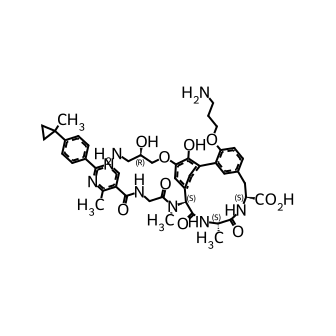 Cc1nc(-c2ccc(C3(C)CC3)cc2)ncc1C(=O)NCC(=O)N(C)[C@@H]1C(=O)N[C@@H](C)C(=O)N[C@H](C(=O)O)Cc2ccc(OCCCN)c(c2)-c2cc1cc(OC[C@H](O)CN)c2O